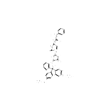 COc1ccc(C(OC[C@H]2O[C@@H](n3ccc(NC(=O)Nc4ccccc4)nc3=O)C[C@@H]2O)(c2ccccc2)c2ccc(OC)cc2)cc1